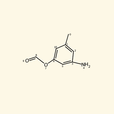 Cc1cc(N)cc(OC=O)c1